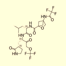 CC(C)C[C@H](NC(=O)C12CC(NC(=O)C(F)(F)F)(CO1)C2)C(=O)N[C@@H](C[C@@H]1CCNC1=O)C(=O)COC(F)(F)F